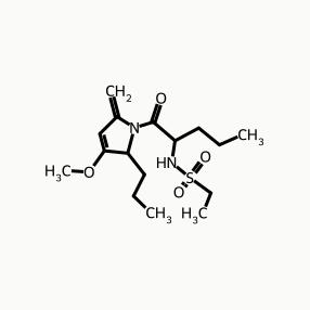 C=C1C=C(OC)C(CCC)N1C(=O)C(CCC)NS(=O)(=O)CC